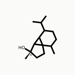 CC(C)C1CCC(C)C23CC[C@](C)(O)C2C13